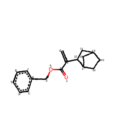 C=C(C(=O)OCc1ccccc1)C1CC2CCC1C2